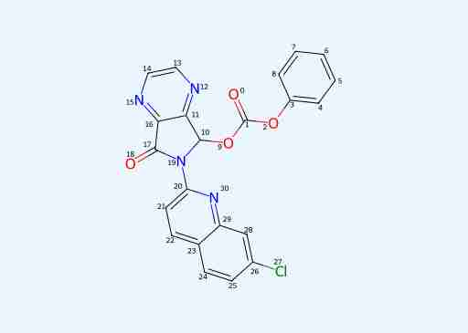 O=C(Oc1ccccc1)OC1c2nccnc2C(=O)N1c1ccc2ccc(Cl)cc2n1